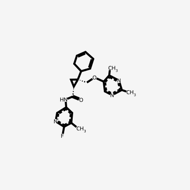 Cc1ncc(OC[C@@]2(C3C=CC=CC3)C[C@H]2C(=O)Nc2cnc(F)c(C)c2)c(C)n1